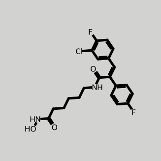 O=C(CCCCCNC(=O)C(=Cc1ccc(F)c(Cl)c1)c1ccc(F)cc1)NO